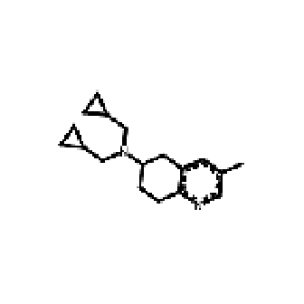 Cc1cnc2c(c1)CC(N(CC1CC1)CC1CC1)CC2